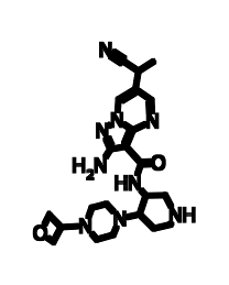 CC(C#N)c1cnc2c(C(=O)NC3CNCCC3N3CCN(C4COC4)CC3)c(N)nn2c1